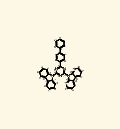 c1ccc(-c2ccc(-c3nc(-n4c5ccccc5c5ccccc54)nc(-n4c5ncccc5c5cccnc54)n3)cc2)cc1